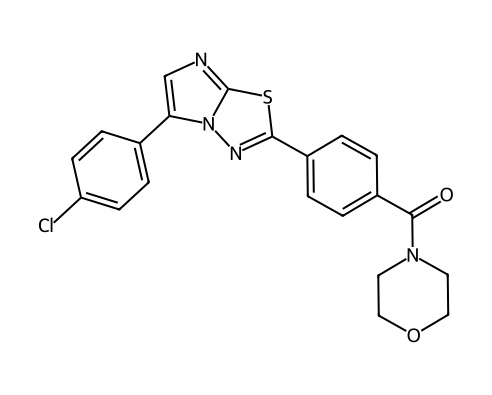 O=C(c1ccc(-c2nn3c(-c4ccc(Cl)cc4)cnc3s2)cc1)N1CCOCC1